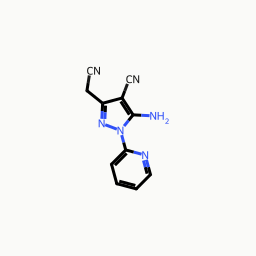 N#CCc1nn(-c2ccccn2)c(N)c1C#N